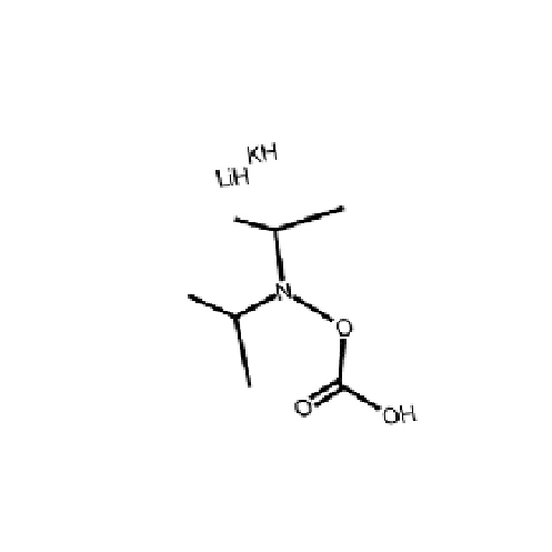 CC(C)N(OC(=O)O)C(C)C.[KH].[LiH]